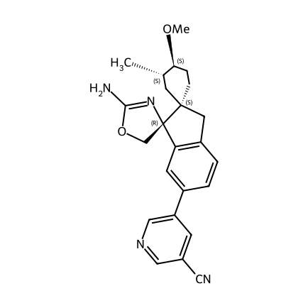 CO[C@H]1CC[C@@]2(Cc3ccc(-c4cncc(C#N)c4)cc3[C@@]23COC(N)=N3)C[C@@H]1C